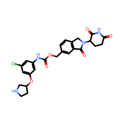 O=C1CCC(N2Cc3ccc(COC(=O)Nc4cc(Cl)cc(OC5CCNC5)c4)cc3C2=O)C(=O)N1